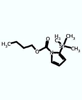 CCCCOC(=O)n1ccc[c]1[Sn]([CH3])([CH3])[CH3]